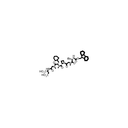 CC[C@H](C)[C@H](NC(=O)OCC1c2ccccc2-c2ccccc21)C(=O)N(C)CC(=O)N1CC[C@H]1C(=O)N(C)[C@@H](CC1CCCCC1)C(=O)N(C)CC(=O)N[C@@H](CC(=O)O)C(=O)O